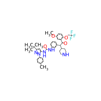 COc1ccc(OCC(F)(F)F)c(C(=O)C(c2cccc(NC(=O)Nc3cc(C(C)(C)C)nn3-c3ccc(C)cc3)c2)C2CCNCC2)c1